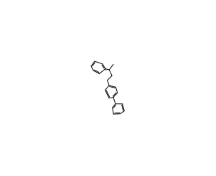 C[C](CCc1ccc(-c2ccccc2)cc1)c1ccccc1